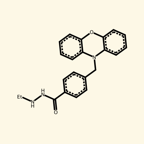 CCNNC(=O)c1ccc(CN2c3ccccc3Oc3ccccc32)cc1